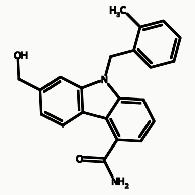 Cc1ccccc1Cn1c2cc(CO)c[c]c2c2c(C(N)=O)cccc21